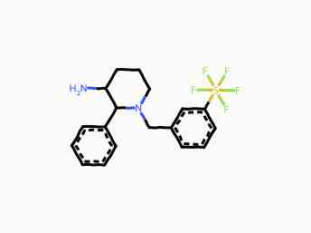 NC1CCCN(Cc2cccc(S(F)(F)(F)(F)F)c2)C1c1ccccc1